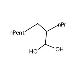 CCCCCCC(CCC)C(O)O